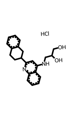 Cl.OCC(O)CNc1cc(C2CCc3ccccc3C2)nc2ccccc12